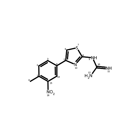 Cc1ccc(-c2csc(NC(=N)N)n2)cc1[N+](=O)[O-]